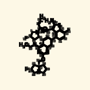 C=CC(=O)N1C[C@@H](F)[C@@H](N(CC)c2nc(OC[C@@]34CCCN3C[C@H](F)C4)nc3cc(-c4ccc(F)c5sc(N)c(C#N)c45)ccc23)C1